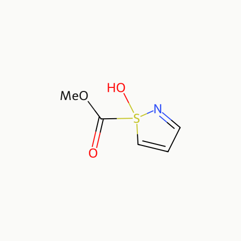 COC(=O)S1(O)C=CC=N1